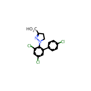 O=C(O)C1=NN(c2c(Cl)cc(Cl)cc2-c2ccc(Cl)cc2)CC1